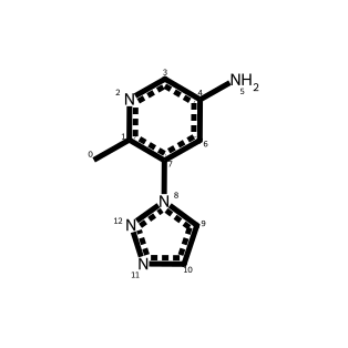 Cc1ncc(N)cc1-n1ccnn1